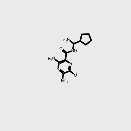 Nc1nc(N)c(C(=O)NC(N)C2CCCC2)nc1Cl